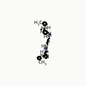 Cc1cccc(Nc2ncnc3ccc(/N=N\NCCOCCN/N=N/c4ccc5ncnc(Nc6cccc(C)c6)c5c4)cc23)c1